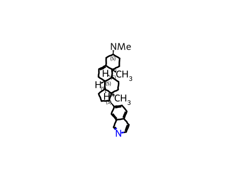 CN[C@H]1CC[C@@]2(C)C(=CC[C@H]3[C@@H]4CC[C@H](c5ccc6ccncc6c5)[C@@]4(C)CC[C@@H]32)C1